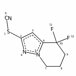 N#CSc1cc2n(n1)CCCC2(F)F